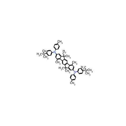 Cc1ccc(N(c2ccc([Si](C)(C)C)cc2)c2cc(C)c3c(c2)C(C)(C)c2cc4c(cc2-3)C(C)(C)c2cc(N(c3ccc(C)cc3)c3ccc([Si](C)(C)C)cc3)cc(C)c2-4)cc1